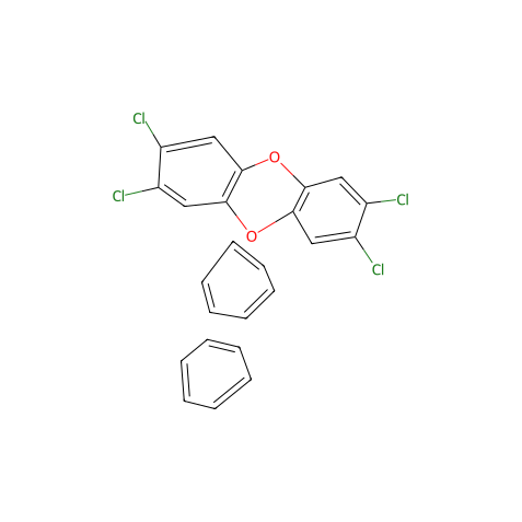 Clc1cc2c(cc1Cl)Oc1cc(Cl)c(Cl)cc1O2.c1ccccc1.c1ccccc1